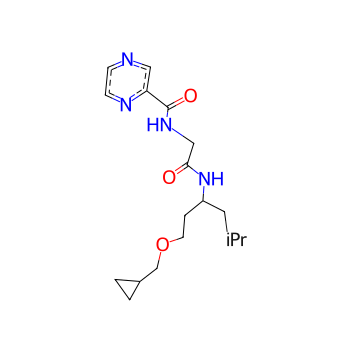 CC(C)CC(CCOCC1CC1)NC(=O)CNC(=O)c1cnccn1